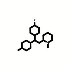 CC1CCC(C(CC2CCCCN2C)C2CCC(F)CC2)CC1